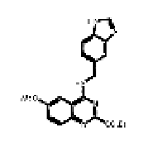 CCOC(=O)c1nc(NCc2ccc3[nH]cnc3c2)c2cc(OC)ccc2n1